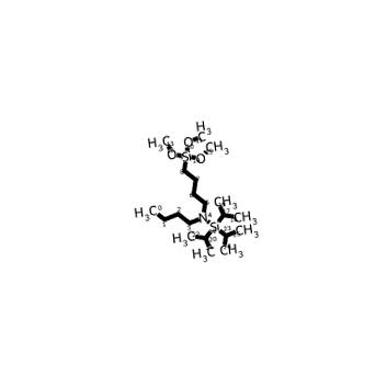 CCCCN(CCCC[Si](OC)(OC)OC)[Si](C(C)C)(C(C)C)C(C)C